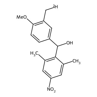 [2H]Cc1cc(C(O)c2c(C)cc([N+](=O)[O-])cc2C)ccc1OC